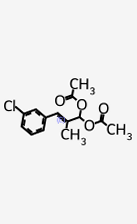 CC(=O)OC(OC(C)=O)/C(C)=C/c1cccc(Cl)c1